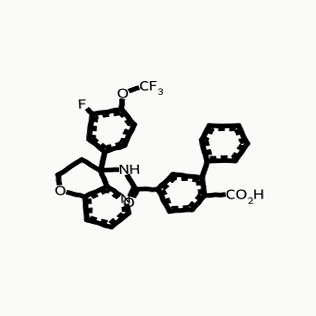 O=C(NC1(c2ccc(OC(F)(F)F)c(F)c2)CCOc2cccnc21)c1ccc(C(=O)O)c(-c2ccccc2)c1